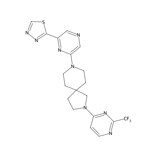 FC(F)(F)c1nccc(N2CCC3(CCN(c4cncc(-c5nncs5)n4)CC3)C2)n1